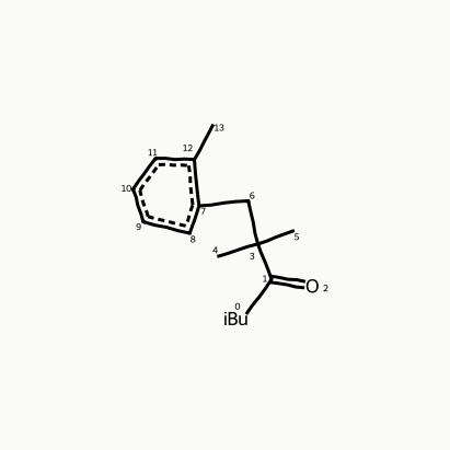 CCC(C)C(=O)C(C)(C)Cc1ccccc1C